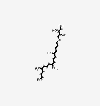 C/C(=C\CCCOC[C@H](O)[C@H](O)CO)CCCC(C)CCCC(C)CCCC(C)C